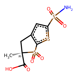 C[C@]1(C(=O)O)Cc2cc(S(N)(=O)=O)sc2S1(=O)=O